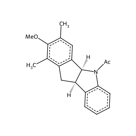 COc1c(C)cc2c(c1C)C[C@@H]1c3ccccc3N(C(C)=O)[C@H]21